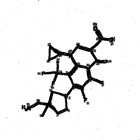 Cc1c(F)c(N2CCC(C)(CN)C2)c(C(F)(F)F)c2c1c(=O)c(C(=O)O)cn2C1CC1